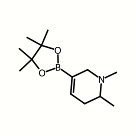 CC1CC=C(B2OC(C)(C)C(C)(C)O2)CN1C